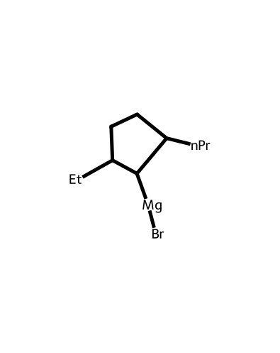 CCCC1CCC(CC)[CH]1[Mg][Br]